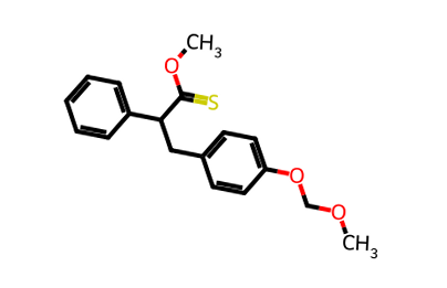 COCOc1ccc(CC(C(=S)OC)c2ccccc2)cc1